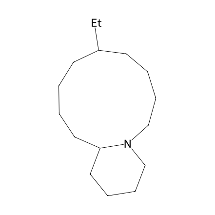 CCC1CCCCC2CCCCN2CCCC1